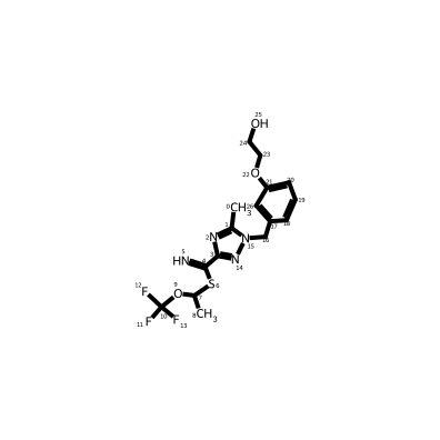 Cc1nc(C(=N)SC(C)OC(F)(F)F)nn1Cc1cccc(OCCO)c1